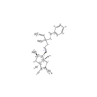 C=CC(O)(C/C=C/[C@H]1[C@@H]2CC(=C)C(=O)[C@H]2C[C@H]1O)COc1ccccc1